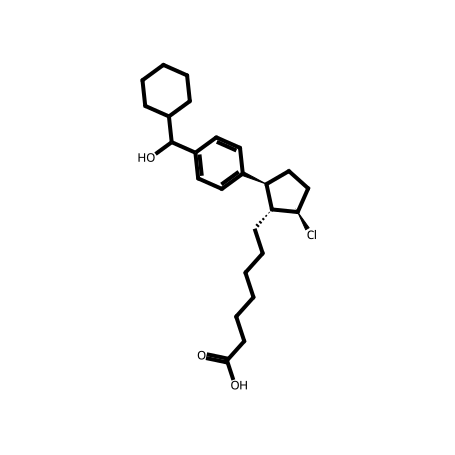 O=C(O)CCCCCC[C@H]1[C@H](Cl)CC[C@@H]1c1ccc(C(O)C2CCCCC2)cc1